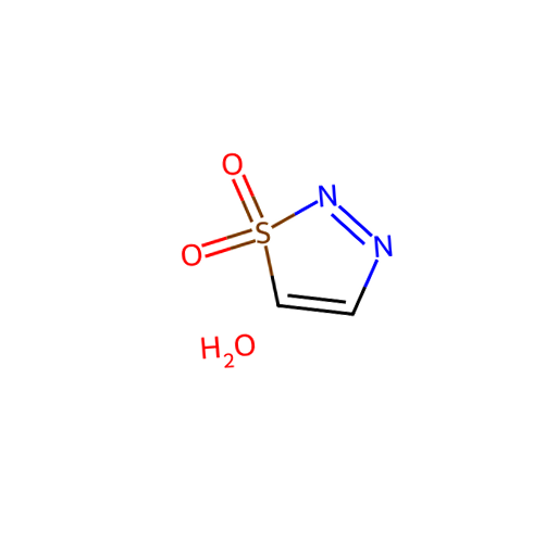 O.O=S1(=O)C=CN=N1